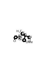 COc1cccc(-c2c(-c3cn[nH]c3)sc3nc(C)cc(NS(=O)(=O)c4cccc(Cl)c4)c23)c1